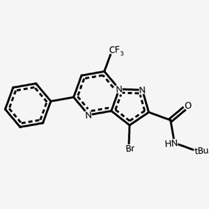 CC(C)(C)NC(=O)c1nn2c(C(F)(F)F)cc(-c3ccccc3)nc2c1Br